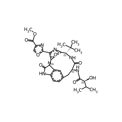 COC(=O)c1coc(-c2nc3oc2[C@H]2C(=O)Nc4ccc(cc42)C[C@H](NC(=O)[C@@H](O)C(C)C)C(=O)N[C@H]3C(C)(C)C)n1